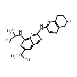 CC(C)Nc1nc([C@@H](C)O)cc2cnc(Nc3ccc4c(n3)CCNC4)nc12